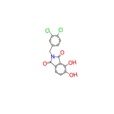 O=C1c2ccc(O)c(O)c2C(=O)N1Cc1ccc(Cl)c(Cl)c1